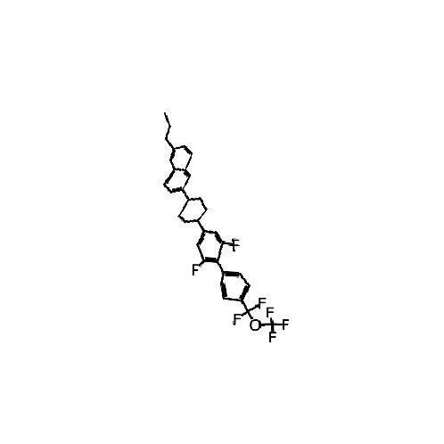 CCCc1ccc2cc(C3CCC(c4cc(F)c(-c5ccc(C(F)(F)OC(F)(F)F)cc5)c(F)c4)CC3)ccc2c1